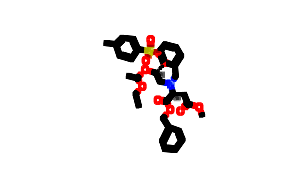 CCOC(C)O[C@H](COS(=O)(=O)c1ccc(C)cc1)CN(Cc1ccccc1)[C@@H](CC(=O)OC)C(=O)OCc1ccccc1